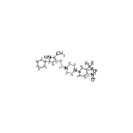 Cc1[nH]c(-c2ccccc2)cc1CCN1CCN(c2ccc([N+](=O)[O-])c(C(F)(F)F)c2)CC1